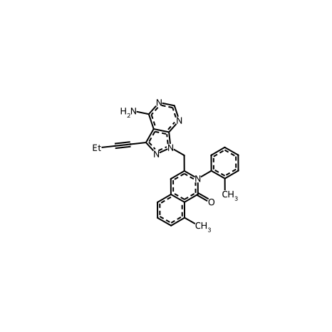 CCC#Cc1nn(Cc2cc3cccc(C)c3c(=O)n2-c2ccccc2C)c2ncnc(N)c12